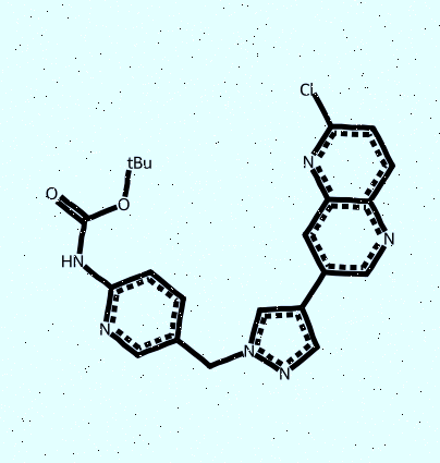 CC(C)(C)OC(=O)Nc1ccc(Cn2cc(-c3cnc4ccc(Cl)nc4c3)cn2)cn1